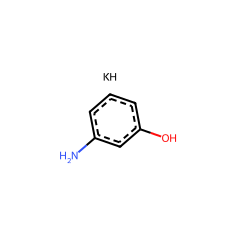 Nc1cccc(O)c1.[KH]